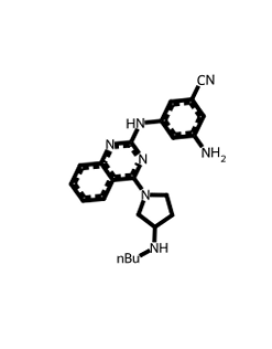 CCCCNC1CCN(c2nc(Nc3cc(N)cc(C#N)c3)nc3ccccc23)C1